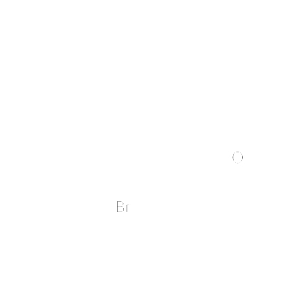 Brc1ccccc1C1COC1